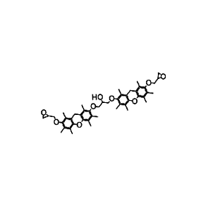 Cc1c(C)c2c(c(C)c1OCC(O)COc1c(C)c(C)c3c(c1C)Cc1c(C)c(OCC4CO4)c(C)c(C)c1O3)Cc1c(C)c(OCC3CO3)c(C)c(C)c1O2